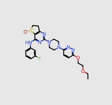 CCOCCOc1ccc(N2CCN(c3nc4c(c(Nc5cccc(F)c5)n3)[S+]([O-])CC4)CC2)nn1